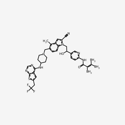 BC(B)=C(B)C(=O)Nc1ccc(C(O)Cn2c(C#N)cc3c(C)c(CN4CCC(Nc5ncnc6sc(CC(F)(F)F)cc56)CC4)ccc32)cn1